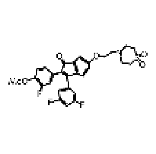 COc1ccc(C2=C(c3cc(F)cc(F)c3)c3ccc(OCCN4CCS(=O)(=O)CC4)cc3C2=O)cc1F